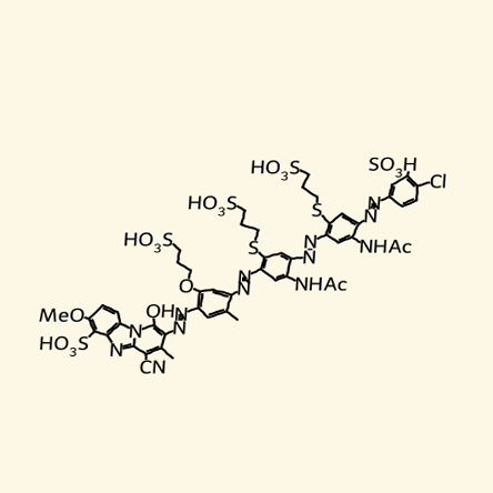 COc1ccc2c(nc3c(C#N)c(C)c(N=Nc4cc(C)c(N=Nc5cc(NC(C)=O)c(N=Nc6cc(NC(C)=O)c(N=Nc7ccc(Cl)c(S(=O)(=O)O)c7)cc6SCCCS(=O)(=O)O)cc5SCCCS(=O)(=O)O)cc4OCCCS(=O)(=O)O)c(O)n32)c1S(=O)(=O)O